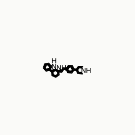 NC1(CCc2ccc(C3CCNCC3)cc2)CCCc2c1[nH]c1ccccc21